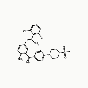 CS(=O)(=O)N1CCN(c2ncc(C(=N)c3cc(O[C@H](N)c4c(Cl)cncc4Cl)ccc3N)cn2)CC1